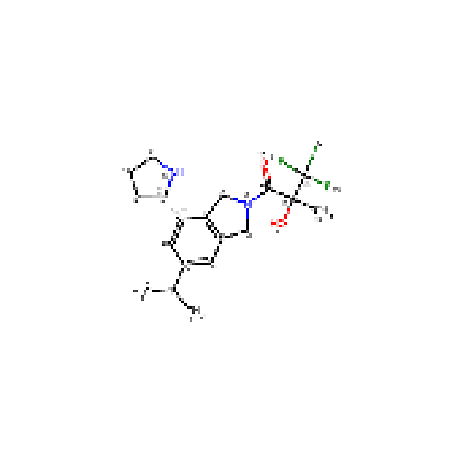 CC(C)c1cc2c(c([C@@H]3CCCN3)c1)CN(C(=O)C(C)(O)C(F)(F)F)C2